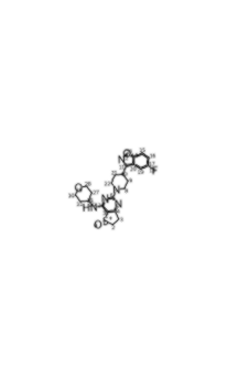 [O-][S+]1CCc2nc(N3CCC(c4noc5ccc(F)cc45)CC3)nc(NC3CCOCC3)c21